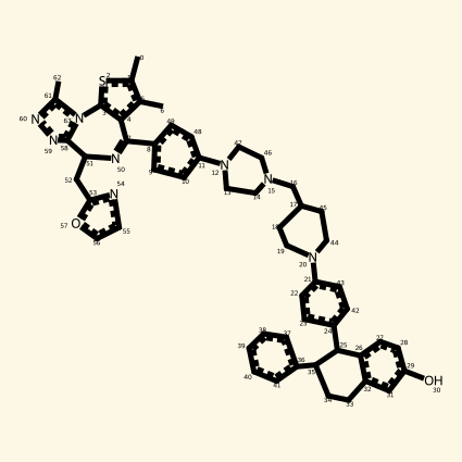 Cc1sc2c(c1C)C(c1ccc(N3CCN(CC4CCN(c5ccc(C6c7ccc(O)cc7CCC6c6ccccc6)cc5)CC4)CC3)cc1)=NC(Cc1ncco1)c1nnc(C)n1-2